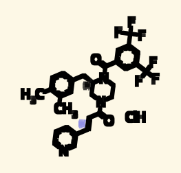 Cc1ccc(C[C@@H]2CN(C(=O)/C=C/c3cccnc3)CCN2C(=O)c2cc(C(F)(F)F)cc(C(F)(F)F)c2)cc1C.Cl